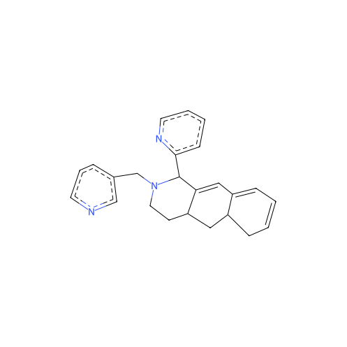 C1=CCC2CC3CCN(Cc4cccnc4)C(c4ccccn4)C3=CC2=C1